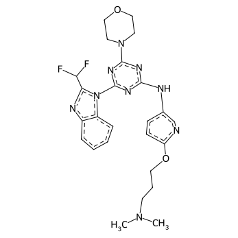 CN(C)CCCOc1ccc(Nc2nc(N3CCOCC3)nc(-n3c(C(F)F)nc4ccccc43)n2)cn1